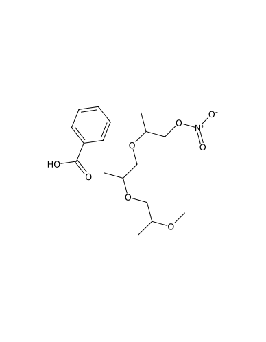 COC(C)COC(C)COC(C)CO[N+](=O)[O-].O=C(O)c1ccccc1